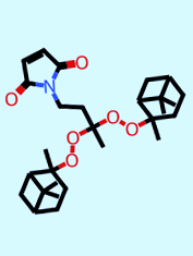 CC(CCN1C(=O)C=CC1=O)(OOC1(C)CCC2CC1C2(C)C)OOC1(C)CCC2CC1C2(C)C